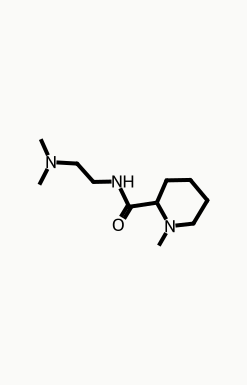 CN(C)CCNC(=O)C1CCCCN1C